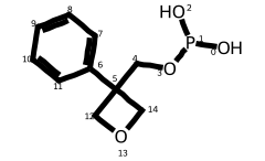 OP(O)OCC1(c2ccccc2)COC1